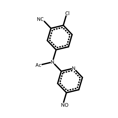 CC(=O)N(c1ccc(Cl)c(C#N)c1)c1cc(N=O)ccn1